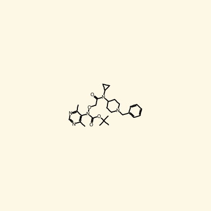 Cc1ncnc(C)c1N(OCC(=O)N(C1CC1)C1CCN(Cc2ccccc2)CC1)C(=O)OC(C)(C)C